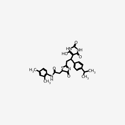 Cc1ccc(NC(=O)CC2SC(CC(c3ccc(C(C)C)cc3)c3c(O)[nH]c(=O)[nH]c3=O)=NC2=O)c(C)c1